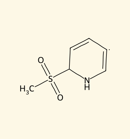 CS(=O)(=O)C1C=C[C]=CN1